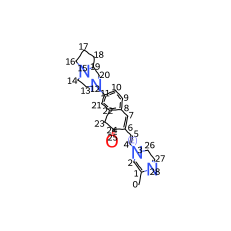 CC1=CN(/C=C/C2=Cc3ccc(N4CCN5CCCC5C4)cc3CC2=O)CC=N1